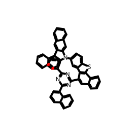 c1ccc(-c2nc(-c3cccc4ccccc34)nc(-c3cc4ccccc4c4sc5ccc(-n6c7cc8ccccc8cc7c7c8ccccc8ccc76)cc5c34)n2)cc1